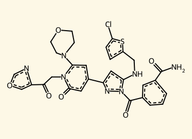 NC(=O)c1cccc(C(=O)n2nc(-c3cc(N4CCOCC4)n(CC(=O)c4cocn4)c(=O)c3)cc2NCc2ccc(Cl)s2)c1